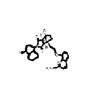 C[C@@]12CC[C@@](CCOc3cccc4ccc(N)nc34)(O1)[C@H]1C(=O)N(c3ccc(C#N)c4ccccc34)C(=O)[C@H]12